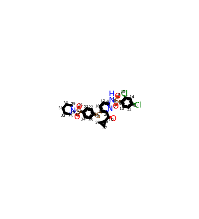 O=C(c1nc(NS(=O)(=O)c2ccc(Cl)cc2Cl)ccc1Sc1ccc(S(=O)(=O)N2CCCCC2)cc1)C1CC1